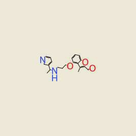 Cc1c(C=O)oc2cccc(OCCCNC(C)c3cccnc3)c12